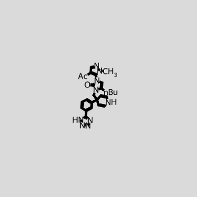 CCCCc1cn(-c2c(C(C)=O)cnn2C)c(=O)n1CC1(c2cccc(-c3nnn[nH]3)c2)C=CNC=C1